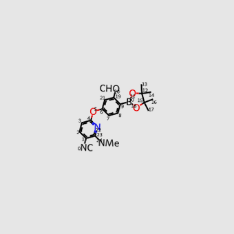 [C-]#[N+]c1ccc(Oc2ccc(B3OC(C)(C)C(C)(C)O3)c(C=O)c2)nc1NC